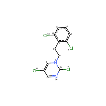 ClC1=CN(CCc2c(Cl)cccc2Cl)C(Cl)N=C1